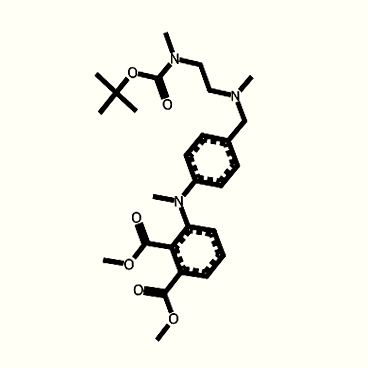 COC(=O)c1cccc(N(C)c2ccc(CN(C)CCN(C)C(=O)OC(C)(C)C)cc2)c1C(=O)OC